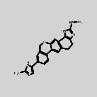 Cc1ncc(-c2ccc3c(c2)COc2cc4c(cc2-3)CCc2nc(PN)[nH]c2-4)[nH]1